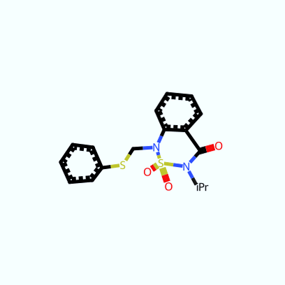 CC(C)N1C(=O)c2ccccc2N(CSc2ccccc2)S1(=O)=O